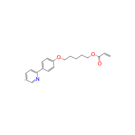 C=CC(=O)OCCCCCOc1ccc(-c2cc[c]cn2)cc1